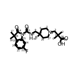 CC(C)(CN1CCC(F)(CNC(=O)N2C(=O)C(C)(C)c3ccc(F)cc32)CC1)C(=O)O